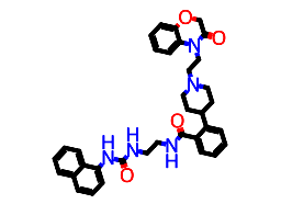 O=C(NCCNC(=O)c1ccccc1C1CCN(CCN2C(=O)COc3ccccc32)CC1)Nc1cccc2ccccc12